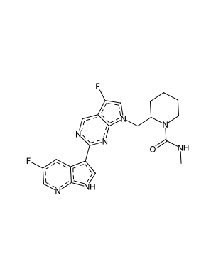 CNC(=O)N1CCCCC1Cn1cc(F)c2cnc(-c3c[nH]c4ncc(F)cc34)nc21